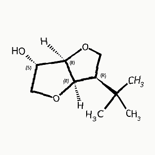 CC(C)(C)[C@@H]1CO[C@H]2[C@@H]1OC[C@@H]2O